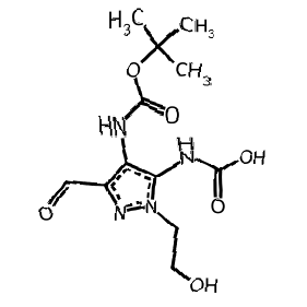 CC(C)(C)OC(=O)Nc1c(C=O)nn(CCO)c1NC(=O)O